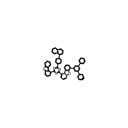 c1ccc(-c2cc(-c3ccccc3)cc(-c3cccc4c3OC3C=CC=C(c5nc(-c6ccc(-c7cccc8ccccc78)cc6)nc(-c6cccc7sc8ccccc8c67)n5)C43)c2)cc#1